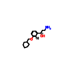 [2H]c1c(OCC2CCCCC2)cccc1[C@@H](O)CCN